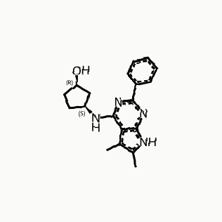 Cc1[nH]c2nc(-c3ccccc3)nc(N[C@H]3CC[C@@H](O)C3)c2c1C